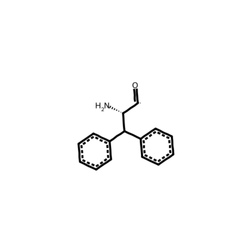 N[C@H]([C]=O)C(c1ccccc1)c1ccccc1